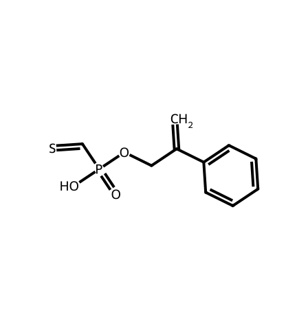 C=C(COP(=O)(O)C=S)c1ccccc1